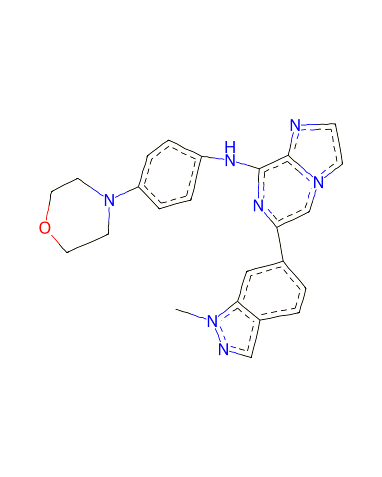 Cn1ncc2ccc(-c3cn4ccnc4c(Nc4ccc(N5CCOCC5)cc4)n3)cc21